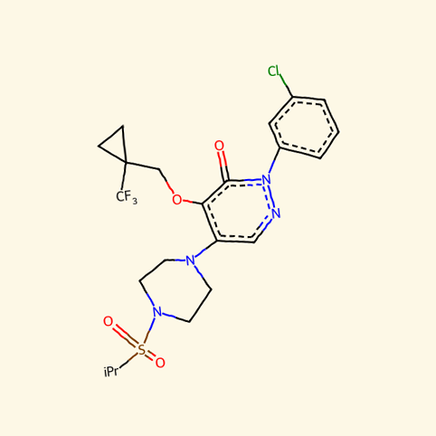 CC(C)S(=O)(=O)N1CCN(c2cnn(-c3cccc(Cl)c3)c(=O)c2OCC2(C(F)(F)F)CC2)CC1